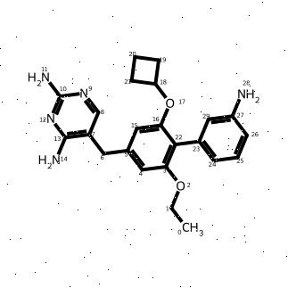 CCOc1cc(Cc2cnc(N)nc2N)cc(OC2CCC2)c1-c1cccc(N)c1